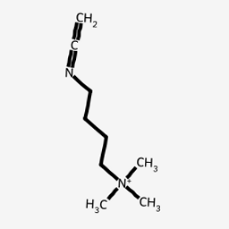 C=C=NCCCC[N+](C)(C)C